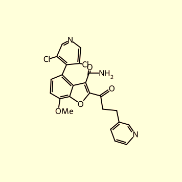 COc1ccc(-c2c(Cl)cncc2Cl)c2c(C(N)=O)c(C(=O)CCc3cccnc3)oc12